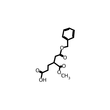 COC(=O)C(CCC(=O)O)CC(=O)OCc1ccccc1